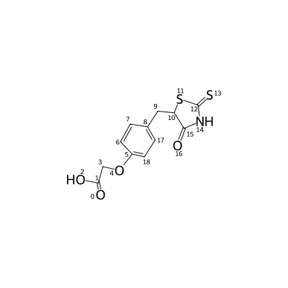 O=C(O)COc1ccc(CC2SC(=S)NC2=O)cc1